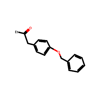 CCC(=O)Cc1ccc(OCc2ccccc2)cc1